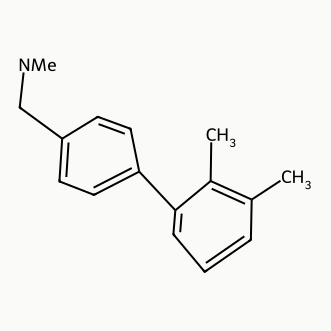 CNCc1ccc(-c2cccc(C)c2C)cc1